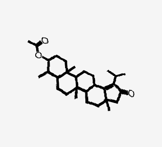 CC(=O)OC1CCC2(C)C(CCC3(C)C4CCC5(C)CC(=O)C(C(C)C)=C5C4CCC32)C1C